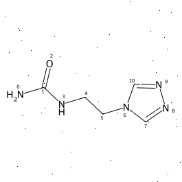 NC(=O)NCCn1[c]nnc1